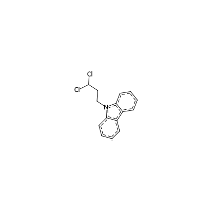 ClC(Cl)CCn1c2cc[c]cc2c2ccccc21